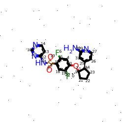 C[C@@]1(Oc2cc(F)c(S(=O)(=O)Nc3ccncn3)cc2F)CCC[C@@H]1c1ccnc(N)c1